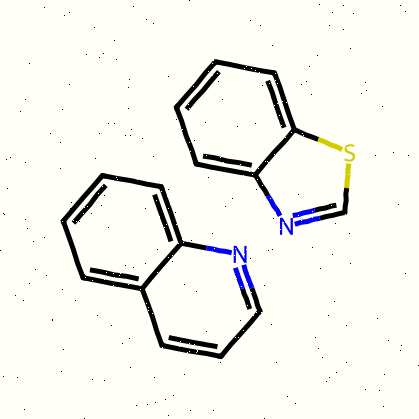 c1ccc2ncccc2c1.c1ccc2scnc2c1